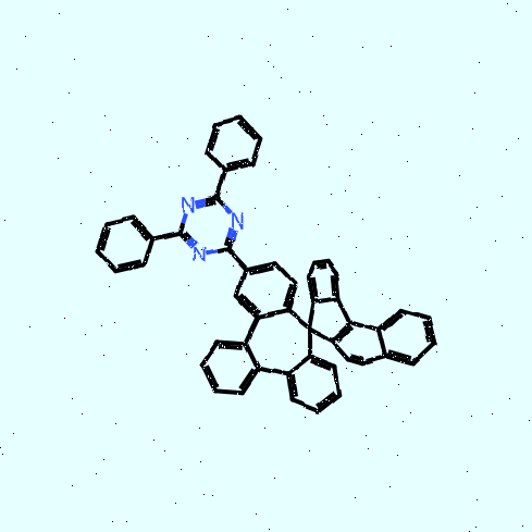 c1ccc(-c2nc(-c3ccccc3)nc(-c3ccc4c(c3)-c3ccccc3-c3ccccc3C43c4ccccc4-c4c3ccc3ccccc43)n2)cc1